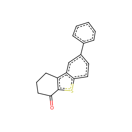 O=C1CCCc2c1sc1ccc(-c3ccccc3)cc21